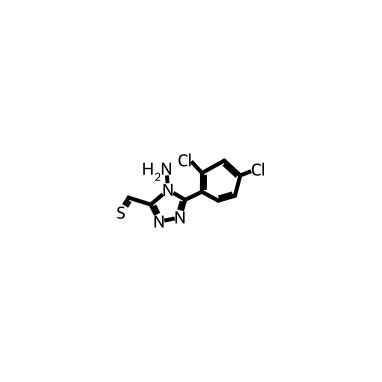 Nn1c(C=S)nnc1-c1ccc(Cl)cc1Cl